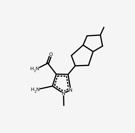 CC1CC2CC(c3nn(C)c(N)c3C(N)=O)CC2C1